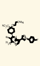 COCCO[C@]1(C(=O)O)CC[C@@H](c2nc3c(-c4cnn(-c5ccc(F)cc5)c4)cnn3c(N)c2Br)CC1